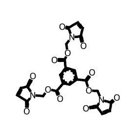 O=C(OCN1C(=O)C=CC1=O)c1cc(C(=O)OCN2C(=O)C=CC2=O)cc(C(=O)OCN2C(=O)C=CC2=O)c1